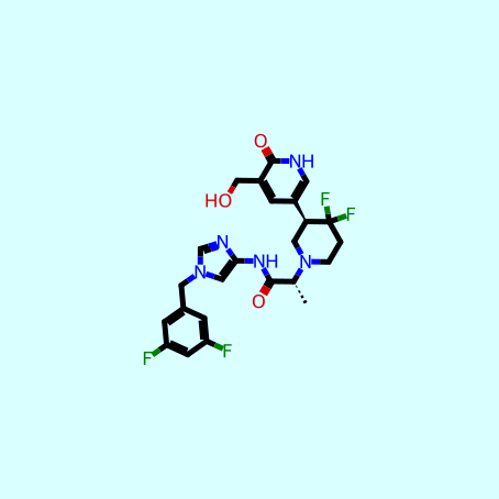 C[C@H](C(=O)Nc1cn(Cc2cc(F)cc(F)c2)cn1)N1CCC(F)(F)[C@H](c2c[nH]c(=O)c(CO)c2)C1